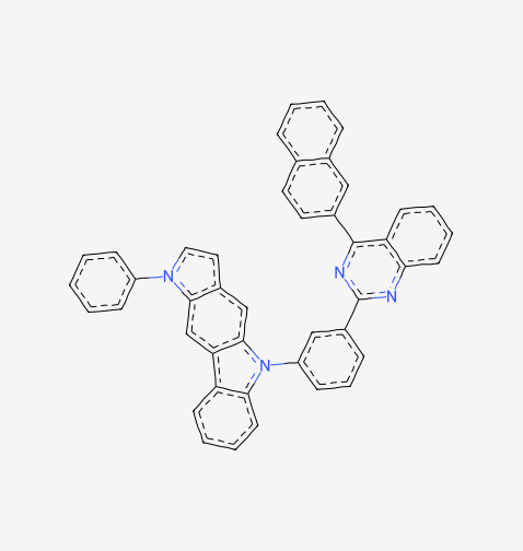 c1ccc(-n2ccc3cc4c(cc32)c2ccccc2n4-c2cccc(-c3nc(-c4ccc5ccccc5c4)c4ccccc4n3)c2)cc1